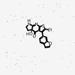 CCc1sc2c(c1-c1ccc3ccoc3c1)C(=O)[C@]1(O)CCNC1=N2